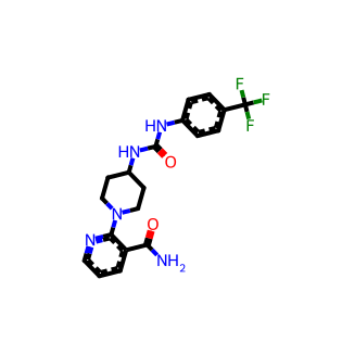 NC(=O)c1cccnc1N1CCC(NC(=O)Nc2ccc(C(F)(F)F)cc2)CC1